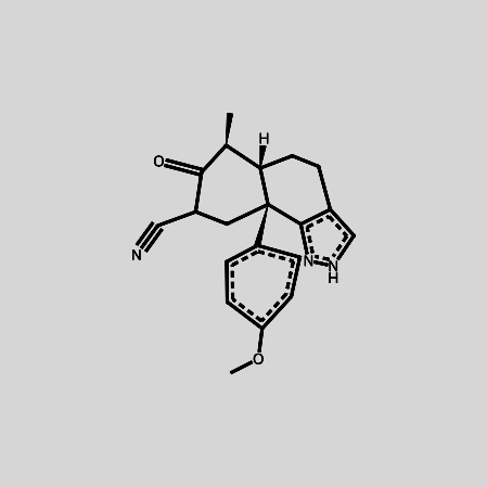 COc1ccc([C@@]23CC(C#N)C(=O)[C@@H](C)[C@@H]2CCc2c[nH]nc23)cc1